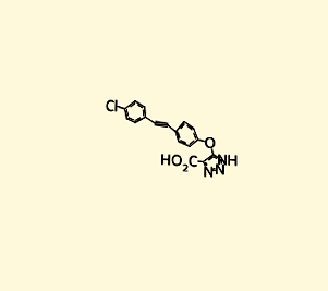 O=C(O)c1nn[nH]c1Oc1ccc(C#Cc2ccc(Cl)cc2)cc1